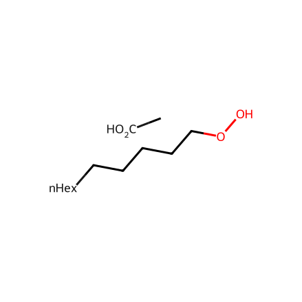 CC(=O)O.CCCCCCCCCCCOO